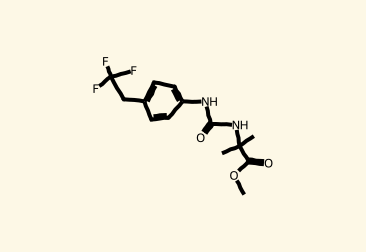 COC(=O)C(C)(C)NC(=O)Nc1ccc(CC(F)(F)F)cc1